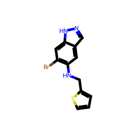 Brc1cc2[nH]ncc2cc1NCc1cccs1